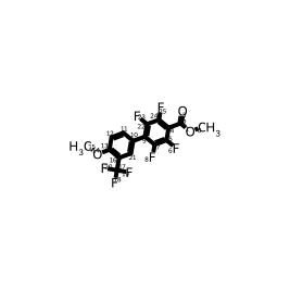 COC(=O)c1c(F)c(F)c(-c2ccc(OC)c(C(F)(F)F)c2)c(F)c1F